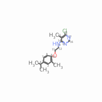 Cc1cc(C(C)C)ccc1OCCNc1ncnc(Cl)c1C